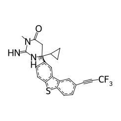 CN1C(=N)N[C@@](c2ccc3sc4ccc(C#CC(F)(F)F)cc4c3c2)(C2CC2)CC1=O